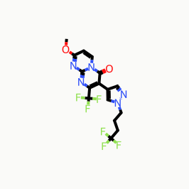 COc1ccn2c(=O)c(-c3cnn(CCCC(F)(F)F)c3)c(C(F)(F)F)nc2n1